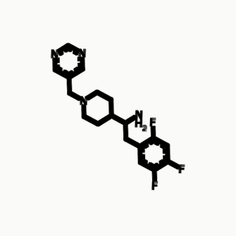 NC(Cc1cc(F)c(F)cc1F)C1CCN(Cc2cncnc2)CC1